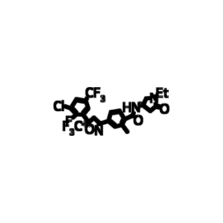 CCN1C[C@@H](NC(=O)c2ccc(C3=NO[C@](c4cc(C(F)(F)F)cc(Cl)c4F)(C(F)(F)F)C3)cc2C)CC1=O